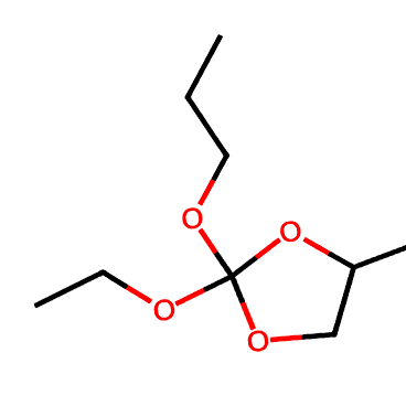 CCCOC1(OCC)OCC(C)O1